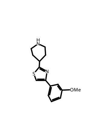 COc1cccc(-c2csc(C3CCNCC3)n2)c1